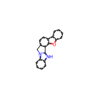 c1ccc2c(c1)[nH]c1[n+]2Cc2ccc3c(oc4ccccc43)c2-1